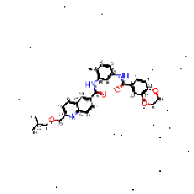 Cc1ccc(NC(=O)c2ccc3c(c2)OCCO3)cc1NC(=O)c1ccc2nc(COCC(C)C)ccc2c1